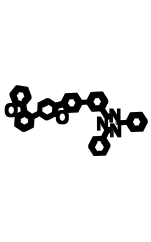 C1=CC(c2nc(-c3ccccc3)nc(-c3cccc(-c4ccc5c6c(oc5c4)CC(c4cccc5oc7ccccc7c45)C=C6)c3)n2)=CCC1